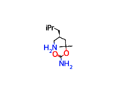 CC(C)C[C@H](CN)CC(C)(C)OC(N)=O